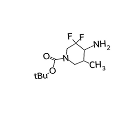 CC1CN(C(=O)OC(C)(C)C)CC(F)(F)C1N